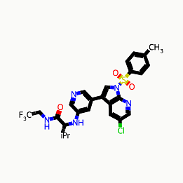 Cc1ccc(S(=O)(=O)n2cc(-c3cncc(NC(C(=O)NCC(F)(F)F)C(C)C)c3)c3cc(Cl)cnc32)cc1